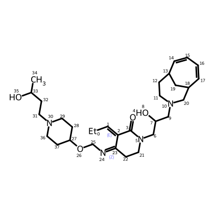 CC/C=C1/C(=O)N(CC(O)CN2CCC3C=CC=CC(C3)C2)CC/C1=N/COC1CCN(CCC(C)O)CC1